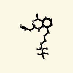 CC(C)c1nccc(CCCO[Si](C)(C)C(C)(C)C)c1NC(=O)CC#N